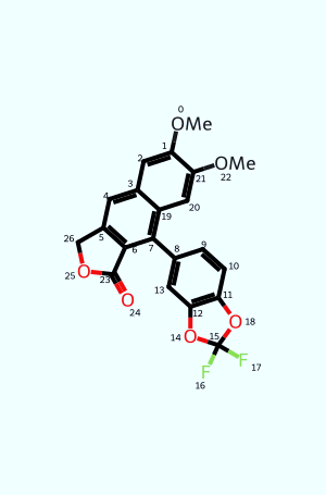 COc1cc2cc3c(c(-c4ccc5c(c4)OC(F)(F)O5)c2cc1OC)C(=O)OC3